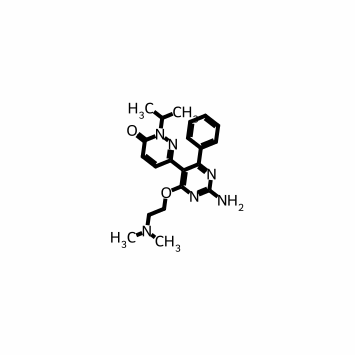 CC(C)n1nc(-c2c(OCCN(C)C)nc(N)nc2-c2ccccc2)ccc1=O